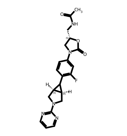 CC(=O)NC[C@H]1CN(c2ccc(C3[C@H]4CN(c5ncccn5)C[C@@H]34)c(F)c2)C(=O)O1